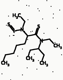 CCCCCC(C(=S)N(CC)C(CC)CC)N([C]=S)CC